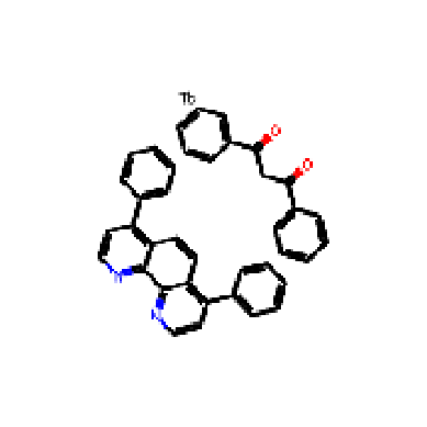 O=C(CC(=O)c1ccccc1)c1ccccc1.[Tb].c1ccc(-c2ccnc3c2ccc2c(-c4ccccc4)ccnc23)cc1